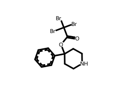 O=C(OC1(c2ccccc2)CCNCC1)C(Br)(Br)Br